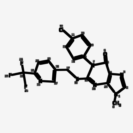 Cn1cnc2c(=O)n(-c3ccc(Cl)cc3)c(SCc3ccc(C(F)(F)F)nc3)nc21